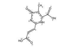 Cc1c(C(=O)O)[nH]c(/C=C/C(=O)O)nc1=O